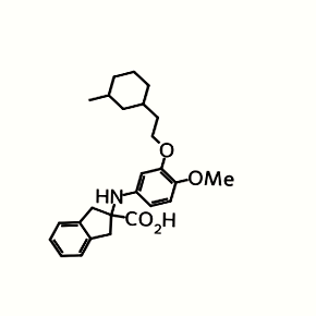 COc1ccc(NC2(C(=O)O)Cc3ccccc3C2)cc1OCCC1CCCC(C)C1